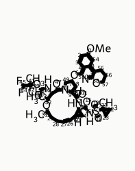 COc1ccc2c(O[C@@H]3C[C@H]4C(=O)N[C@]5(C(=O)NS(=O)(=O)C6(C)CC6)C[C@H]5/C=C\CC[C@@H](C)O[C@@H](C)[C@H](NC(=O)OC(C)(C)C(F)F)C(=O)N4C3)nc3c(c2c1)CCCO3